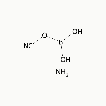 N.N#COB(O)O